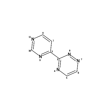 c1cc(-c2nccnn2)ncn1